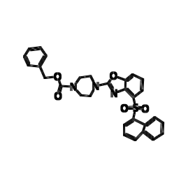 O=C(OCc1ccccc1)N1CCN(c2nc3c(S(=O)(=O)c4cccc5ccccc45)cccc3o2)CC1